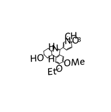 CCOc1cc2c(cc1OC)C(c1ccc(=O)n(C)c1)=N[C@@H]1CC[C@@H](O)C[C@H]21